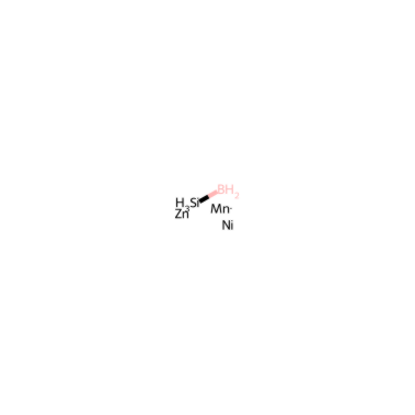 B[SiH3].[Mn].[Ni].[Zn]